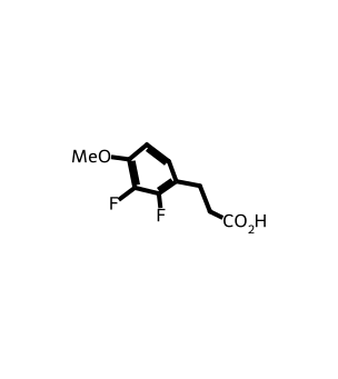 COc1ccc(CCC(=O)O)c(F)c1F